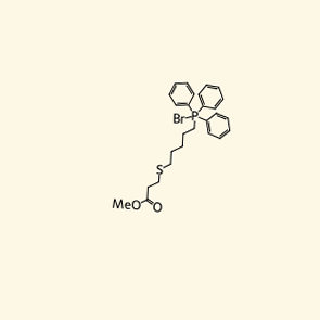 COC(=O)CCSCCCCCP(Br)(c1ccccc1)(c1ccccc1)c1ccccc1